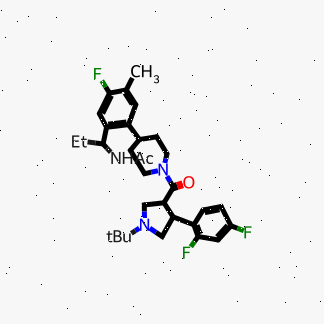 CCC(NC(C)=O)c1cc(F)c(C)cc1C1CCN(C(=O)C2CN(C(C)(C)C)CC2c2ccc(F)cc2F)CC1